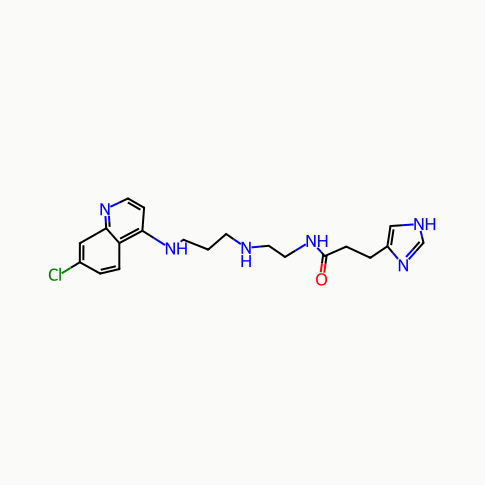 O=C(CCc1c[nH]cn1)NCCNCCCNc1ccnc2cc(Cl)ccc12